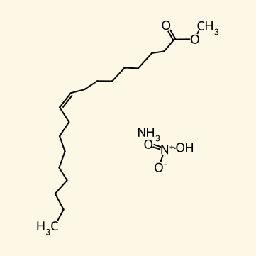 CCCCCCCC/C=C\CCCCCCCC(=O)OC.N.O=[N+]([O-])O